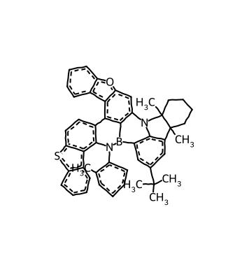 Cc1ccccc1N1B2c3cc(C(C)(C)C)cc4c3N(c3cc5oc6ccccc6c5c(c32)-c2ccc3sc5ccccc5c3c21)C1(C)CCCCC41C